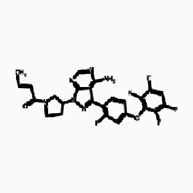 C/C=C/C(=O)N1CCC(n2nc(-c3ccc(Oc4c(F)c(F)cc(F)c4F)cc3F)c3c(N)ncnc32)C1